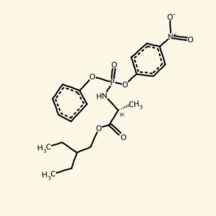 CCC(CC)COC(=O)[C@@H](C)NP(=O)(Oc1ccccc1)Oc1ccc([N+](=O)[O-])cc1